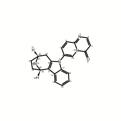 O=c1ccnc2ccc(-n3c4c(c5ccccc53)[C@@H]3CC[C@H](C4)N3)cn12